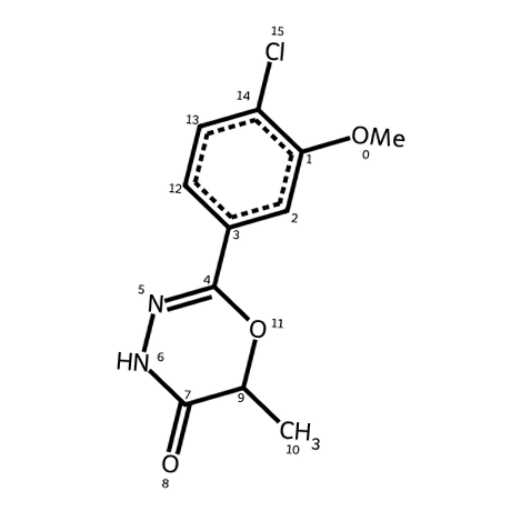 COc1cc(C2=NNC(=O)C(C)O2)ccc1Cl